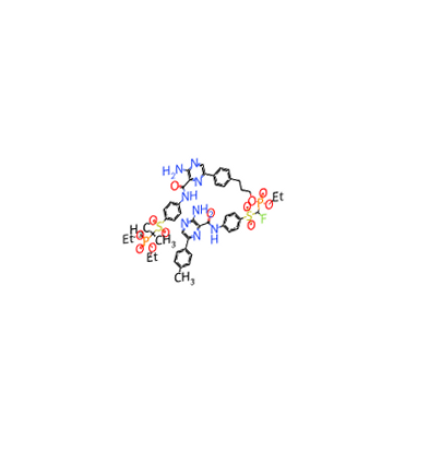 CCOP(=O)(OCCCc1ccc(-c2cnc(N)c(C(=O)Nc3ccc(S(=O)(=O)C(C)(C)P(=O)(OCC)OCC)cc3)n2)cc1)C(F)S(=O)(=O)c1ccc(NC(=O)c2nc(-c3ccc(C)cc3)cnc2N)cc1